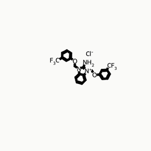 Nc1n(COc2cccc(C(F)(F)F)c2)c2ccccc2[n+]1COc1cccc(C(F)(F)F)c1.[Cl-]